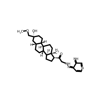 COC[C@@]1(O)CC[C@H]2[C@H](CC[C@@H]3[C@@H]2CC[C@]2(C)[C@@H](C(=O)CN/N=C4/C=CN=CC4=N)CC[C@@H]32)C1